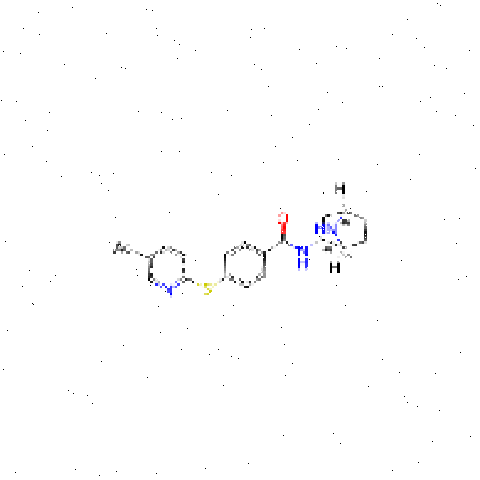 CC(=O)c1ccc(Sc2ccc(C(=O)N[C@@H]3C[C@H]4CC[C@@H]3N4)cc2)nc1